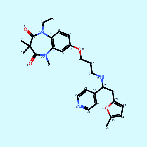 CCN1C(=O)C(C)(C)C(=O)N(C)c2cc(OCCCNC(Cc3ccc(C)o3)c3ccncc3)ccc21